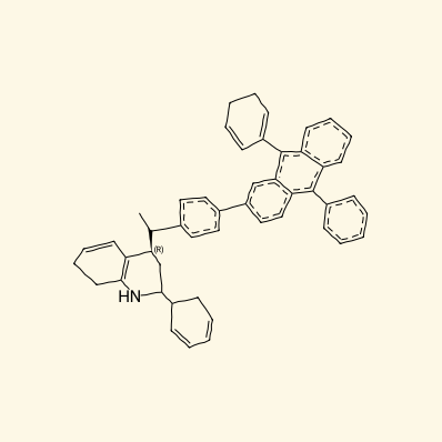 CC(c1ccc(-c2ccc3c(-c4ccccc4)c4ccccc4c(C4=CCCC=C4)c3c2)cc1)[C@H]1CC(C2C=CC=CC2)NC2=C1C=CCC2